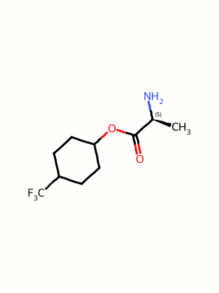 C[C@H](N)C(=O)OC1CCC(C(F)(F)F)CC1